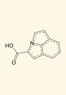 O=C(O)c1cc2cccc3ccn1c32